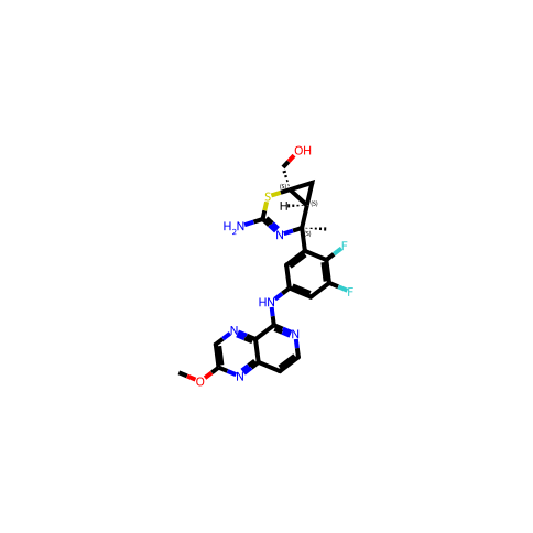 COc1cnc2c(Nc3cc(F)c(F)c([C@@]4(C)N=C(N)S[C@@]5(CO)C[C@H]54)c3)nccc2n1